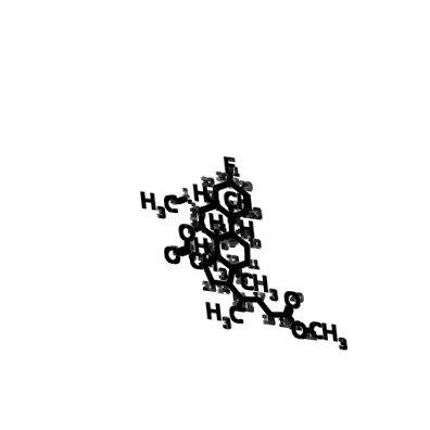 CC[C@H]1[C@@H](OC(C)=O)[C@@H]2[C@H](CC[C@]3(C)C([C@H](C)CCC(=O)OC)CC[C@@H]23)[C@@]2(C)CC[C@H](F)C[C@@H]12